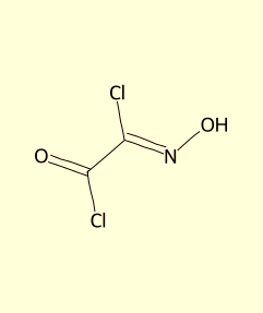 O=C(Cl)C(Cl)=NO